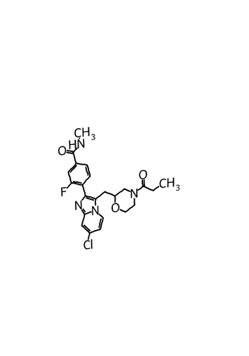 CCC(=O)N1CCOC(Cc2c(-c3ccc(C(=O)NC)cc3F)nc3cc(Cl)ccn23)C1